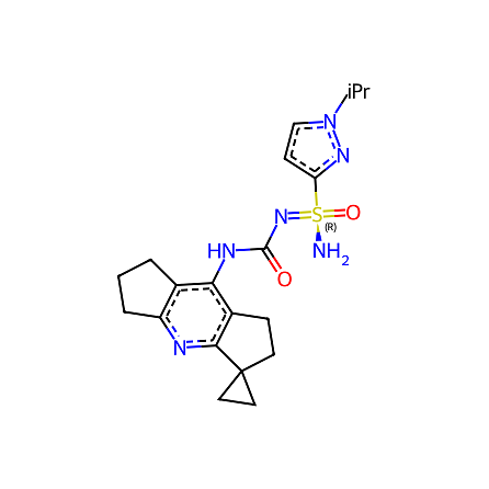 CC(C)n1ccc([S@](N)(=O)=NC(=O)Nc2c3c(nc4c2CCC42CC2)CCC3)n1